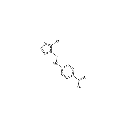 O=C(O)c1ccc(NCc2ccsc2Cl)cc1